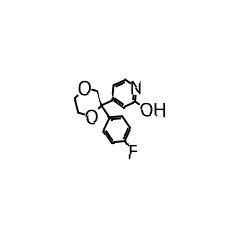 Oc1cc(C2(c3ccc(F)cc3)COCCO2)ccn1